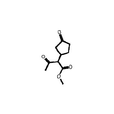 COC(=O)C(C(C)=O)C1CCC(=O)C1